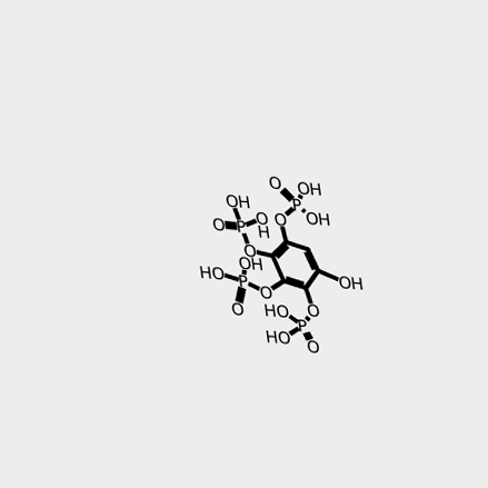 O=P(O)(O)Oc1cc(O)c(OP(=O)(O)O)c(OP(=O)(O)O)c1OP(=O)(O)O